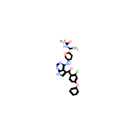 CC(=O)NC(C)[C@@H]1CC[C@@H](Nc2ncnc3[nH]cc(C(=O)c4ccc(Oc5ccccc5)cc4Cl)c23)CO1